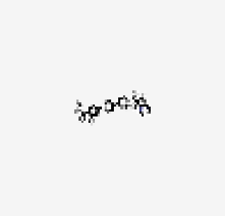 C/C=C\C(=C/C)C(O)(C(=O)N1CCC(C2CCN(c3ccc(C(=O)N(C)CC)c(Cl)c3)CC2)CC1)C(F)(F)F